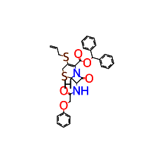 C=CCSC1=C(C(=O)OC(c2ccccc2)c2ccccc2)N2C(=O)[C@H](NC(=O)COc3ccccc3)[C@@H]2SC1